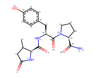 CC1CC(=O)N[C@@H]1C(=O)N[C@@H](Cc1ccc(O)cc1)C(=O)N1CCC[C@H]1C(N)=O